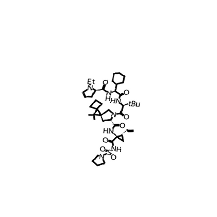 C=C[C@@H]1C[C@]1(NC(=O)[C@@H]1C[C@@]2(CN1C(=O)[C@@H](NC(=O)[C@@H](NC(=O)[C@H]1CCCN1CC)C1CCCCC1)C(C)(C)C)C(C)(C)C21CCC1)C(=O)NS(=O)(=O)N1CCCC1